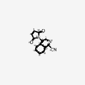 N#Cc1ncc(N2C(=O)C=CC2=O)c2ccccc12